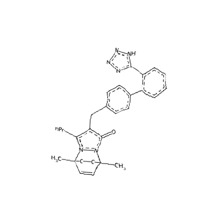 CCCc1c(Cc2ccc(-c3ccccc3-c3nnn[nH]3)cc2)c(=O)n2n1C1(C)C=CC2(C)CC1